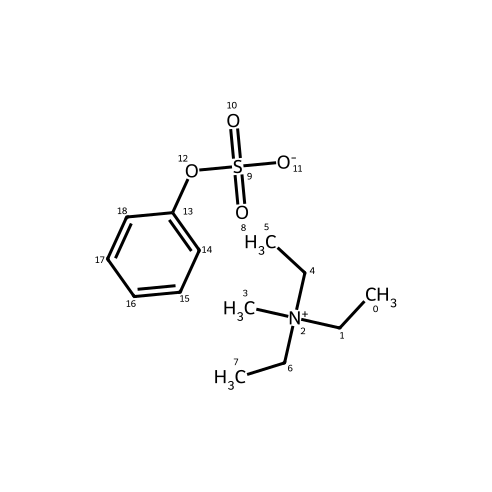 CC[N+](C)(CC)CC.O=S(=O)([O-])Oc1ccccc1